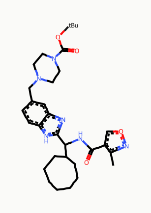 Cc1nocc1C(=O)NC(c1nc2cc(CN3CCN(C(=O)OC(C)(C)C)CC3)ccc2[nH]1)C1CCCCCCC1